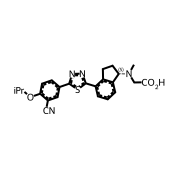 CC(C)Oc1ccc(-c2nnc(-c3cccc4c3CC[C@@H]4N(C)CC(=O)O)s2)cc1C#N